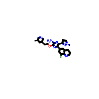 Cc1cncc(CCOc2nc(-c3cc(Cl)c4ncccc4c3)c(-c3ccn(C)n3)nc2N)c1